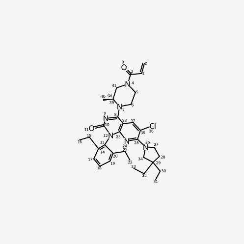 C=CC(=O)N1CCN(c2nc(=O)n(-c3c(CC)cccc3CC)c3nc(N4CCC(CC)(CC)C4)c(Cl)cc23)[C@@H](C)C1